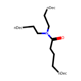 CCCCCCCCCCCCCC(=O)N(CCCCCCCCCCCC)CCCCCCCCCCCC